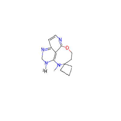 [2H]N1CN=c2ccnc3c2=C1N(C)C1(CCC1)CCO3